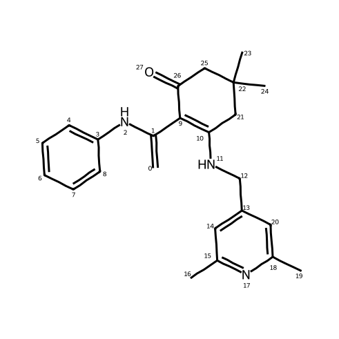 C=C(Nc1ccccc1)C1=C(NCc2cc(C)nc(C)c2)CC(C)(C)CC1=O